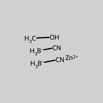 CO.[BH3-]C#N.[BH3-]C#N.[Zn+2]